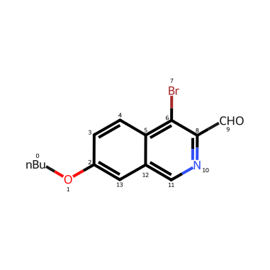 CCCCOc1ccc2c(Br)c(C=O)ncc2c1